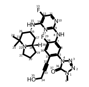 Cn1nnn(-c2cc(Nc3ncc(F)c(N[C@@H]4C[C@@H]5CCCN5C(C)(C)C4)n3)c(F)cc2C#CCO)c1=O